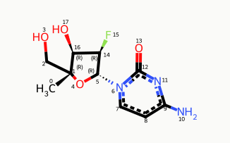 C[C@]1(CO)O[C@@H](n2ccc(N)nc2=O)[C@H](F)[C@@H]1O